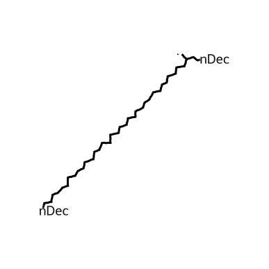 [CH2]C(CCCCCCCCCCCC)CCCCCCCCCCCCCCCCCCCCCCCCCCCCCCCCCCCCCCCCCCCC